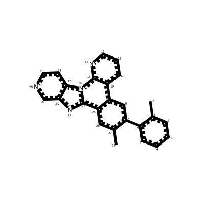 Cc1ccccc1-c1cc2c3cccnc3n3c4ccncc4nc3c2cc1C